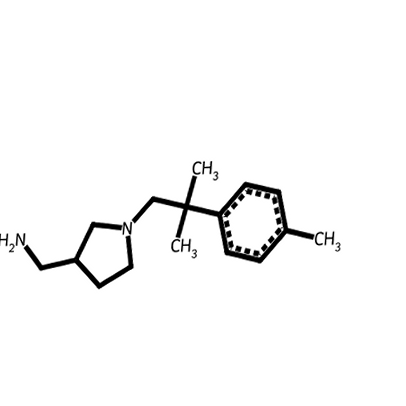 Cc1ccc(C(C)(C)CN2CCC(CN)C2)cc1